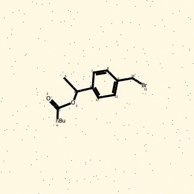 CCCCC(=O)OC(C)c1ccc(CBr)cc1